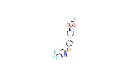 CC(C)(C)OC(=O)N1CCC(c2ccc(Oc3ccc(C(F)(F)F)nn3)cc2)CC1